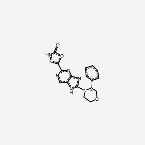 O=c1[nH]nc(-c2ncc3[nH]c(N4CCOC[C@H]4c4ccccc4)nc3n2)o1